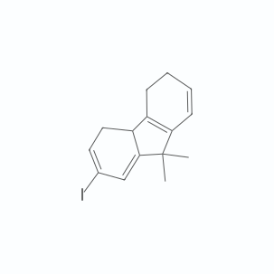 CC1(C)C2=CC(I)=CCC2C2=C1C=CCC2